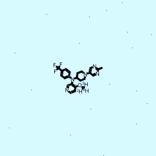 [2H]C([2H])([2H])Oc1ccncc1N(c1ccc(C(F)(F)F)cc1)C1CCN(c2cnc(C)nc2)CC1